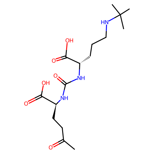 CC(=O)CC[C@H](NC(=O)N[C@@H](CCCNC(C)(C)C)C(=O)O)C(=O)O